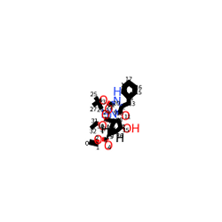 C=COC(=O)[C@H]1[C@H]2[C@@H]1[C@@](NC(=O)C(Cc1ccccc1)NC(=O)OC(C)(C)C)(C(=O)OCC)C[C@@H]2O